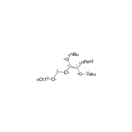 CCCCCCCCOCO/C(OCCCC)=C(/CCCCC)OCCCC